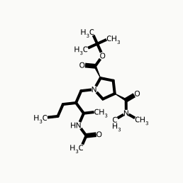 CCCC(CN1C[C@H](C(=O)N(C)C)C[C@@H]1C(=O)OC(C)(C)C)C(C)NC(C)=O